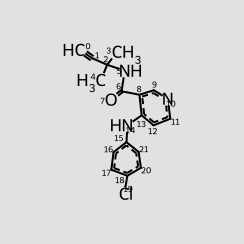 C#CC(C)(C)NC(=O)c1cnccc1Nc1ccc(Cl)cc1